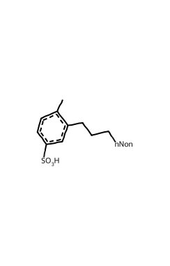 CCCCCCCCCCCCc1cc(S(=O)(=O)O)ccc1C